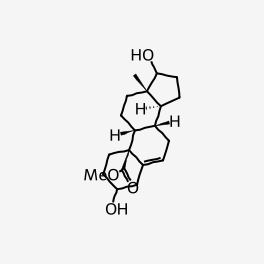 COC(=O)[C@]12CCC(O)CC1=CC[C@@H]1[C@H]2CC[C@]2(C)C(O)CC[C@@H]12